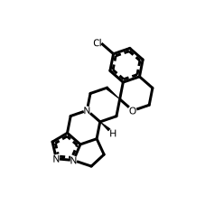 Clc1ccc2c(c1)[C@]1(CCN3Cc4cnn5c4C(CC5)[C@H]3C1)OCC2